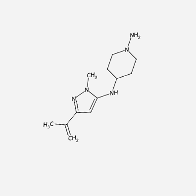 C=C(C)c1cc(NC2CCN(N)CC2)n(C)n1